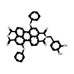 O=C1OC(=O)c2cc(Oc3ccccc3)c3c4ccc5c6c(cc(Oc7ccccc7)c(c7ccc1c2c73)c64)C(=O)N(Cc1ccc(O)c(O)c1)C5=O